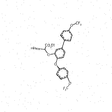 CCCCCCC(Oc1cc(-c2ccc(OC(F)(F)F)cc2)ccc1Oc1ccc(OC(F)(F)F)cc1)C(=O)OCC